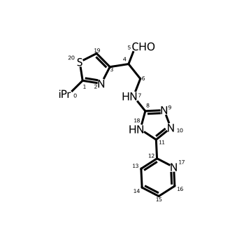 CC(C)c1nc(C(C=O)CNc2nnc(-c3ccccn3)[nH]2)cs1